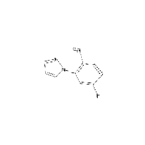 O=[N+]([O-])c1ccc(F)cc1-n1cccn1